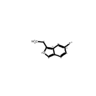 [CH2]Cc1occ2ccc(F)cc12